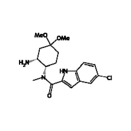 COC1(OC)CC[C@H](N(C)C(=O)c2cc3cc(Cl)ccc3[nH]2)[C@H](N)C1